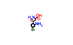 Nc1cc(Br)ccc1C(=O)CC(N)C(=O)O